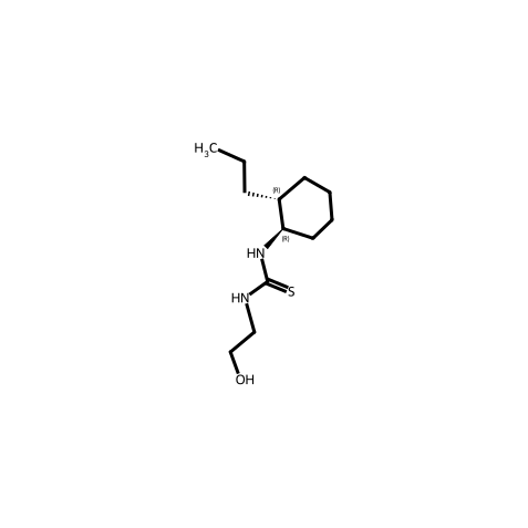 CCC[C@@H]1CCCC[C@H]1NC(=S)NCCO